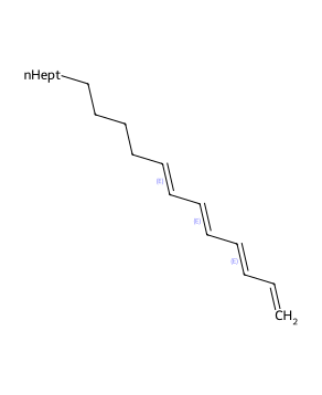 C=C/C=C/C=C/C=C/CCCCC[CH]CCCCC